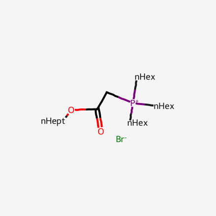 CCCCCCCOC(=O)C[P+](CCCCCC)(CCCCCC)CCCCCC.[Br-]